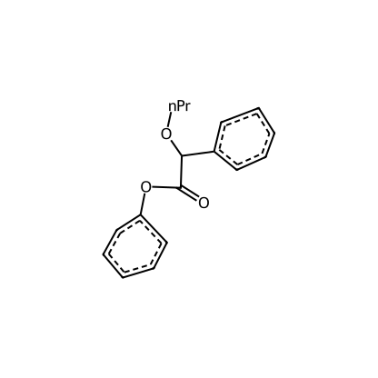 CCCOC(C(=O)Oc1ccccc1)c1ccccc1